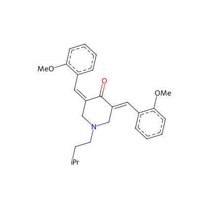 COc1ccccc1C=C1CN(CCC(C)C)CC(=Cc2ccccc2OC)C1=O